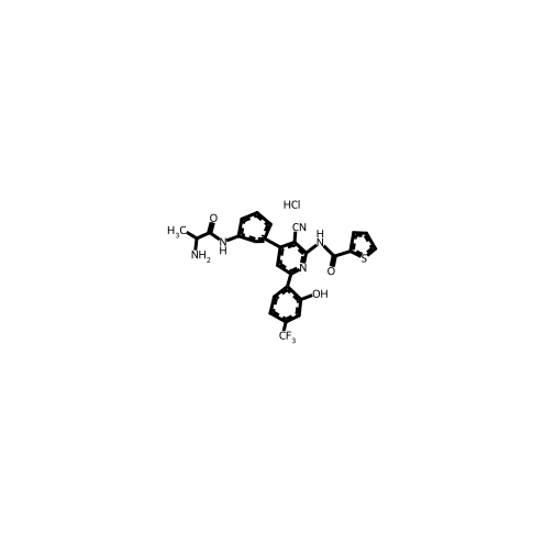 CC(N)C(=O)Nc1cccc(-c2cc(-c3ccc(C(F)(F)F)cc3O)nc(NC(=O)c3cccs3)c2C#N)c1.Cl